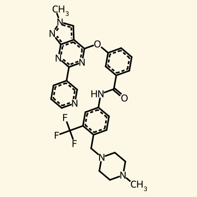 CN1CCN(Cc2ccc(NC(=O)c3cccc(Oc4nc(-c5cccnc5)nc5nn(C)cc45)c3)cc2C(F)(F)F)CC1